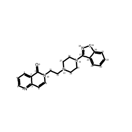 O=c1c2cccnc2ccn1CCN1CCN(c2nsc3ccccc23)CC1